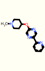 CN1CCC(Oc2cnc(-c3ccccn3)cn2)CC1